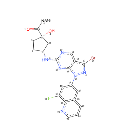 CNC(=O)[C@]1(O)CC[C@@H](Nc2ncc3c(Br)nn(-c4cc(F)c5ncccc5c4)c3n2)C1